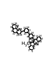 CC1(C)c2ccccc2-c2nc3ccccc3c(-c3ccc(-c4cccc(-c5ccc6ccc7cccnc7c6n5)c4)cc3)c21